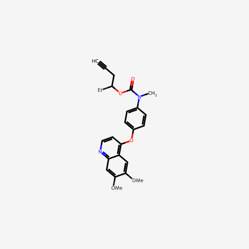 C#CCC(CC)OC(=O)N(C)c1ccc(Oc2ccnc3cc(OC)c(OC)cc23)cc1